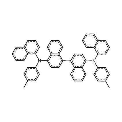 Cc1ccc(N(c2cccc3ccccc23)c2ccc(-c3ccc(N(c4ccc(C)cc4)c4cccc5ccccc45)c4ccccc34)c3ccccc23)cc1